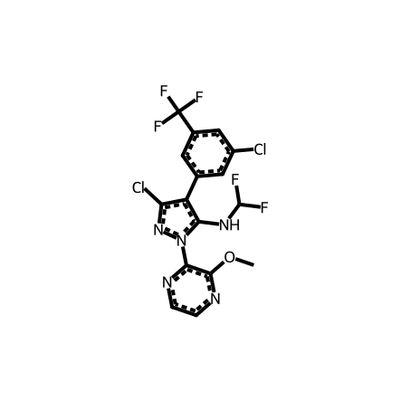 COc1nccnc1-n1nc(Cl)c(-c2cc(Cl)cc(C(F)(F)F)c2)c1NC(F)F